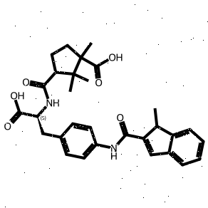 CC1C(C(=O)Nc2ccc(C[C@H](NC(=O)C3CCC(C)(C(=O)O)C3(C)C)C(=O)O)cc2)=Cc2ccccc21